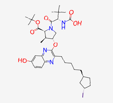 C[C@@H]1[C@@H](Oc2nc3cc(O)ccc3nc2CCCCC[C@H]2CC[C@H](I)C2)CN(C(=O)[C@@H](NC(=O)O)C(C)(C)C)[C@@H]1C(=O)OC(C)(C)C